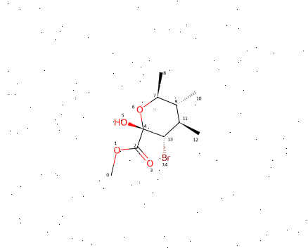 COC(=O)[C@]1(O)O[C@@H](C)[C@H](C)[C@@H](C)[C@@H]1Br